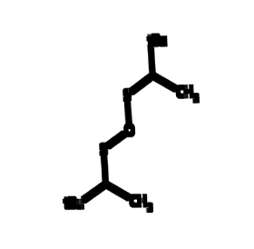 CC(SOSC(C)C(C)(C)C)C(C)(C)C